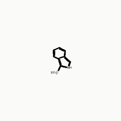 CCOC(=O)c1[nH]cc2ccccc12